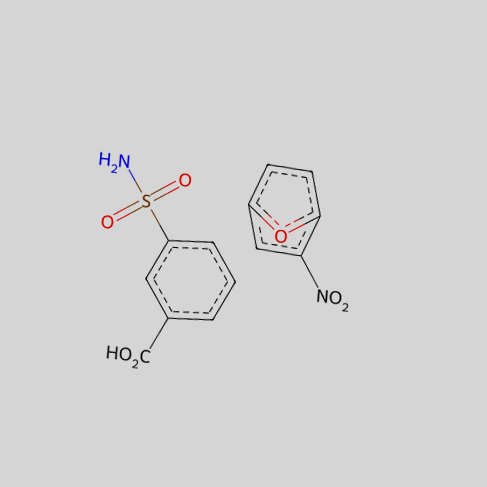 NS(=O)(=O)c1cccc(C(=O)O)c1.O=[N+]([O-])c1cc2ccc1o2